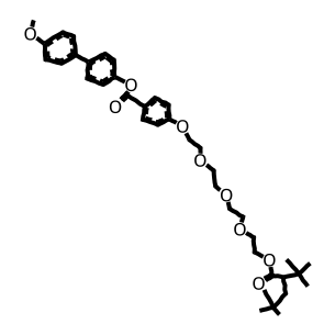 COc1ccc(-c2ccc(OC(=O)c3ccc(OCCOCCOCCOCCOC(=O)C(CC(C)(C)C)C(C)(C)C)cc3)cc2)cc1